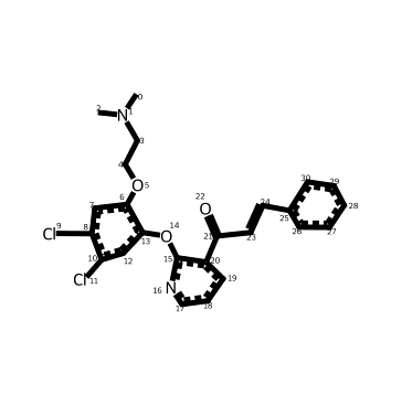 CN(C)CCOc1cc(Cl)c(Cl)cc1Oc1ncccc1C(=O)C=Cc1ccccc1